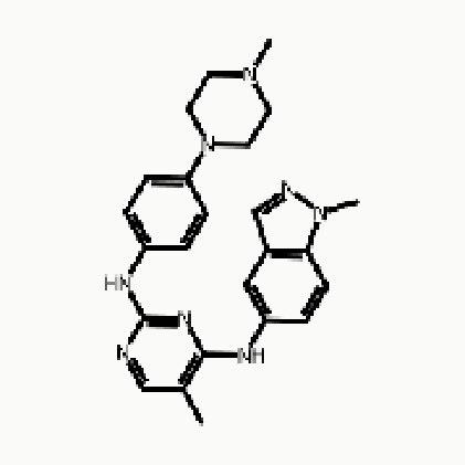 Cc1cnc(Nc2ccc(N3CCN(C)CC3)cc2)nc1Nc1ccc2c(cnn2C)c1